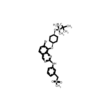 CC(C)(C)[Si](C)(C)O[C@H]1CC[C@@H](Oc2c(Br)ccc3cnc(Nc4cccc(CS(C)(=O)=O)c4)nc23)CC1